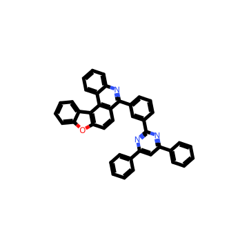 c1ccc(-c2cc(-c3ccccc3)nc(-c3cccc(-c4nc5ccccc5c5c4ccc4oc6ccccc6c45)c3)n2)cc1